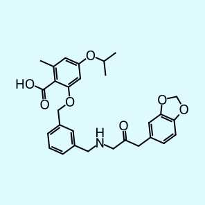 Cc1cc(OC(C)C)cc(OCc2cccc(CNCC(=O)Cc3ccc4c(c3)OCO4)c2)c1C(=O)O